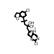 CC(C)(CC(O)(Cc1cc2nc(Cl)ncc2[nH]1)C(F)(F)F)c1cc(Cl)cc2c1OCC2